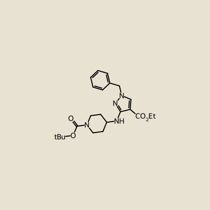 CCOC(=O)c1cn(Cc2ccccc2)nc1NC1CCN(C(=O)OC(C)(C)C)CC1